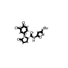 CC(C)(C)c1cc(NC(=O)[C@@H]2CCC(=O)N2c2ccc(Cl)c(Cl)c2)on1